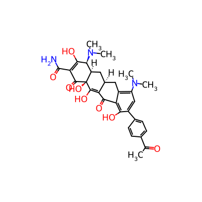 CC(=O)c1ccc(-c2cc(N(C)C)c3c(c2O)C(=O)C2=C(O)[C@]4(O)C(=O)C(C(N)=O)=C(O)[C@@H](N(C)C)[C@H]4C[C@H]2C3)cc1